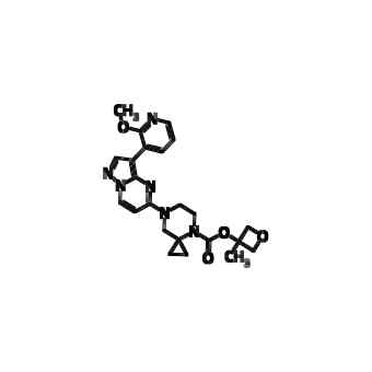 COc1ncccc1-c1cnn2ccc(N3CCN(C(=O)OC4(C)COC4)C4(CC4)C3)nc12